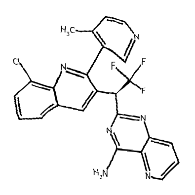 Cc1ccncc1-c1nc2c(Cl)cccc2cc1[C@H](c1nc(N)c2ncccc2n1)C(F)(F)F